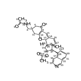 CC(=O)NCC1CC(=O)C2=C(C1)OC1C(=C2)C=C[C@@]2(C)[C@H]1C[C@@H](OC(C)=O)[C@@H]2c1cccc2cnccc12